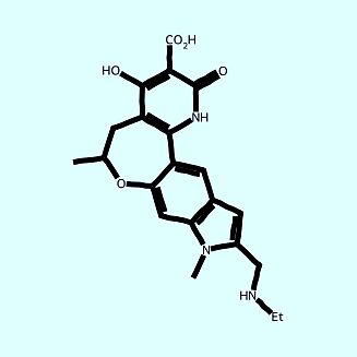 CCNCc1cc2cc3c(cc2n1C)OC(C)Cc1c-3[nH]c(=O)c(C(=O)O)c1O